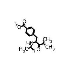 CC(I)NC(Cc1ccc(C(=O)OI)cc1)C(=O)C(C)C